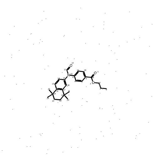 CCCOC(=O)c1ccc(N(C=O)c2ccc3c(c2)C(C)(C)CCC3(C)C)cc1